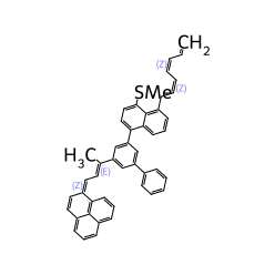 C=C/C=C\C=C/Cc1cccc2c(-c3cc(/C(C)=C/C=c4/ccc5cccc6cccc4c65)cc(-c4ccccc4)c3)ccc(SC)c12